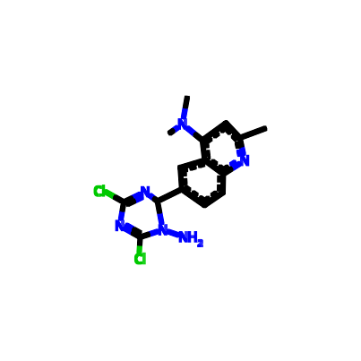 Cc1cc(N(C)C)c2cc(C3N=C(Cl)N=C(Cl)N3N)ccc2n1